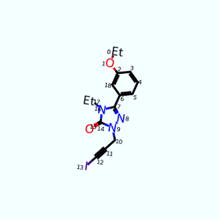 CCOc1cccc(-c2nn(CC#CI)c(=O)n2CC)c1